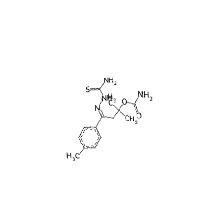 Cc1ccc(C(CC(C)(C)OC(N)=O)=NNC(N)=S)cc1